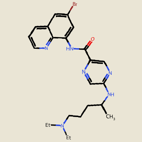 CCN(CC)CCCC(C)Nc1cnc(C(=O)Nc2cc(Br)cc3cccnc23)cn1